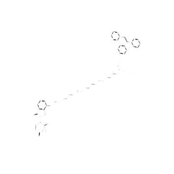 CC/C(=C(\c1ccccc1)c1ccc(OCCN(C)CCCOCCOCCOCCOCCOCCSc2cccc3c2CN(C2CCC(=O)NC2=O)C3=O)cc1)c1ccccc1